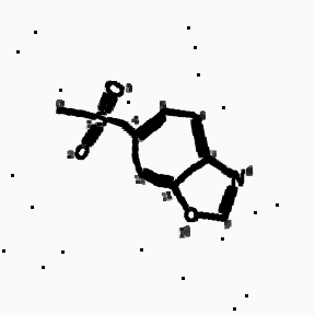 CS(=O)(=O)c1ccc2ncoc2c1